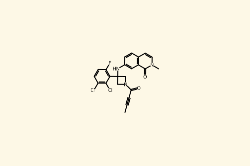 CC#CC(=O)N1CC(Nc2ccc3ccn(C)c(=O)c3c2)(c2c(F)ccc(Cl)c2Cl)C1